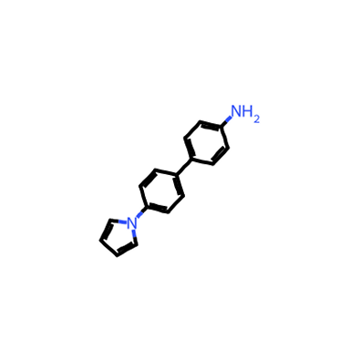 Nc1ccc(-c2ccc(-n3cccc3)cc2)cc1